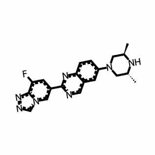 C[C@@H]1CN(c2ccc3nc(-c4cc(F)c5nncn5c4)ncc3c2)C[C@@H](C)N1